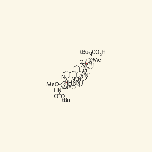 COc1ccc(CN(Cc2ccc(OC)cc2)S(=O)(=O)c2c(S(=O)(=O)NCCN(C(=O)O)C(C)(C)C)ccc(-c3ccnc(NCCNC(=O)OC(C)(C)C)c3)c2-c2nnn(Cc3ccc(OC)cc3)n2)cc1